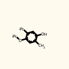 Cc1cc(OC(C)C)c(C(C)C)cc1O